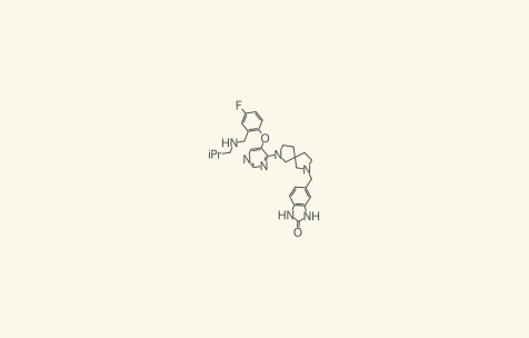 CC(C)CNCc1cc(F)ccc1Oc1cncnc1N1CCC2(CCN(Cc3ccc4[nH]c(=O)[nH]c4c3)C2)C1